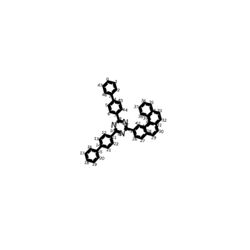 c1ccc(-c2ccc(-c3nc(-c4ccc(-c5ccccc5)cc4)nc(-c4ccc5ccc6ccc7ccccc7c6c5c4)n3)cc2)cc1